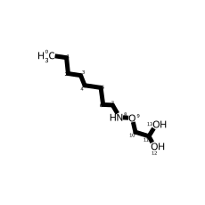 CCCCCCCCNOCC(O)O